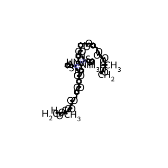 C=CC(=O)OCC(C)(C)COC(=O)CCC(=O)OCCc1ccc(OC(=O)CC2CCCC(C(=O)Oc3ccc(-c4[nH]/c(=C(/C#N)c5nc6ccccc6s5)c5c(-c6ccc(OC(=O)C7CCC(C(=O)Oc8ccc(CCOC(=O)CCC(=O)OCC(C)(C)COC(=O)C=C)cc8)CC7)cc6)[nH]/c(=C(/C#N)c6nc7ccccc7s6)c45)cc3)C2)cc1